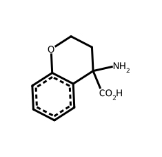 NC1(C(=O)O)CCOc2ccccc21